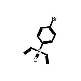 C=CP(=O)(C=C)c1ccc(Br)cc1